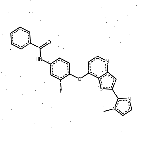 Cn1ccnc1-c1cc2nccc(Oc3ccc(NC(=O)c4ccccc4)cc3F)c2s1